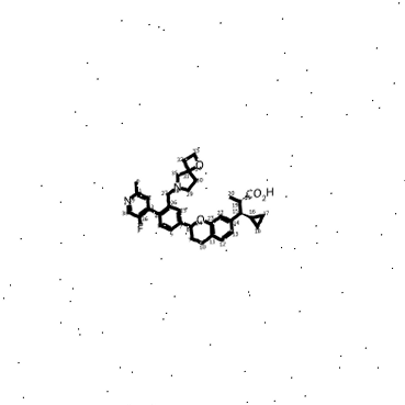 Cc1cc(-c2ccc(C3CCc4ccc([C@H](C5CC5)[C@H](C)C(=O)O)cc4O3)cc2CN2CCC3(CCO3)C2)c(F)cn1